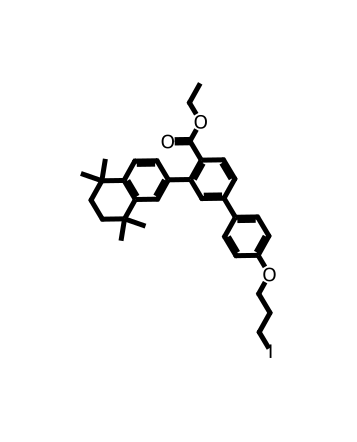 CCOC(=O)c1ccc(-c2ccc(OCCCI)cc2)cc1-c1ccc2c(c1)C(C)(C)CCC2(C)C